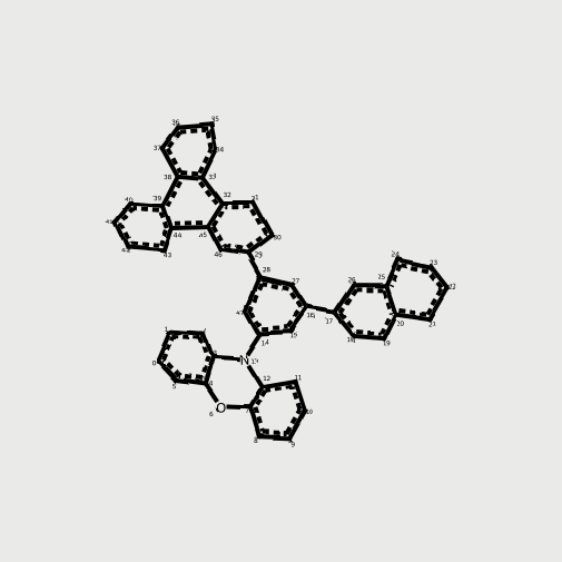 c1ccc2c(c1)Oc1ccccc1N2c1cc(-c2ccc3ccccc3c2)cc(-c2ccc3c4ccccc4c4ccccc4c3c2)c1